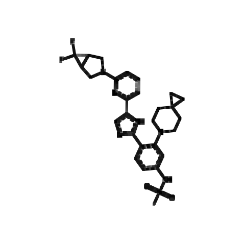 CS(=O)(=O)Nc1ccc(-c2ncc(-c3cccc(N4CC5C(C4)C5(F)F)n3)[nH]2)c(N2CCC3(CC2)CC3)c1